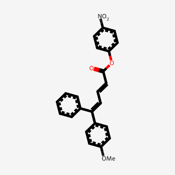 COc1ccc(/C(=C/C=C/C(=O)Oc2ccc([N+](=O)[O-])cc2)c2ccccc2)cc1